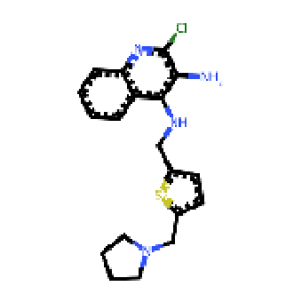 Nc1c(Cl)nc2ccccc2c1NCc1ccc(CN2CCCC2)s1